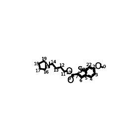 COc1ccc2cc(C(=O)OCCCCN3CCCC3)sc2c1